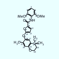 COc1cccc(OC)c1NC(=O)c1ccc(Oc2cc3c(cc2C)OCC[Si]3(C)C)o1